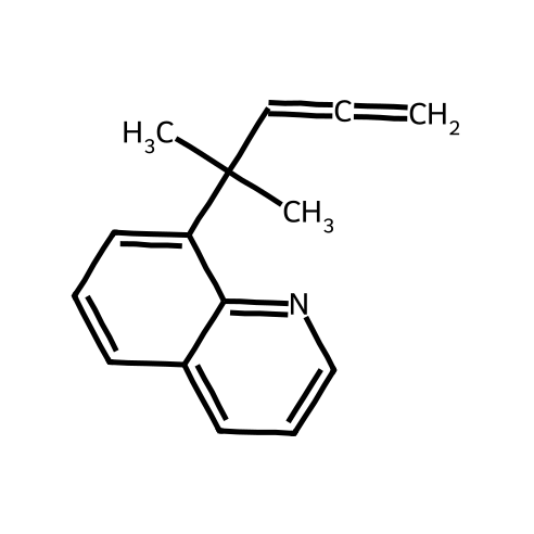 C=C=CC(C)(C)c1cccc2cccnc12